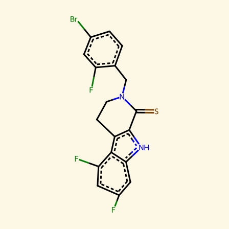 Fc1cc(F)c2c3c([nH]c2c1)C(=S)N(Cc1ccc(Br)cc1F)CC3